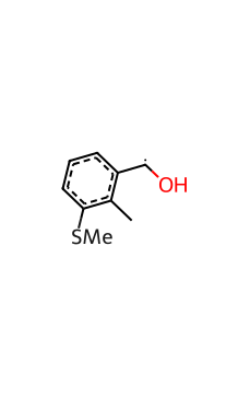 CSc1cccc([CH]O)c1C